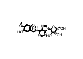 COc1cc(O)c(CNc2ncnc3c2ncn3C2O[C@H](CO)[C@@H](O)[C@H]2O)cc1O